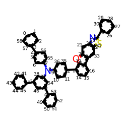 c1ccc(-c2ccc(N(c3ccc(-c4cccc5c4oc4cc6nc(-c7ccccc7)sc6cc45)cc3)c3cc(-c4ccccc4)cc(-c4ccccc4)c3)cc2)cc1